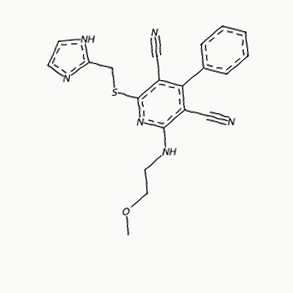 COCCNc1nc(SCc2ncc[nH]2)c(C#N)c(-c2ccccc2)c1C#N